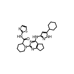 O=C(Nc1nccs1)C1CCCCN1c1nc2c(c(Nc3cc(C4CCCCC4)[nH]n3)n1)CCC2